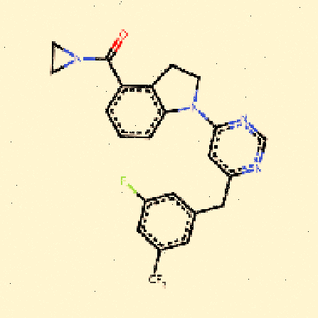 O=C(c1cccc2c1CCN2c1cc(Cc2cc(F)cc(C(F)(F)F)c2)ncn1)N1CC1